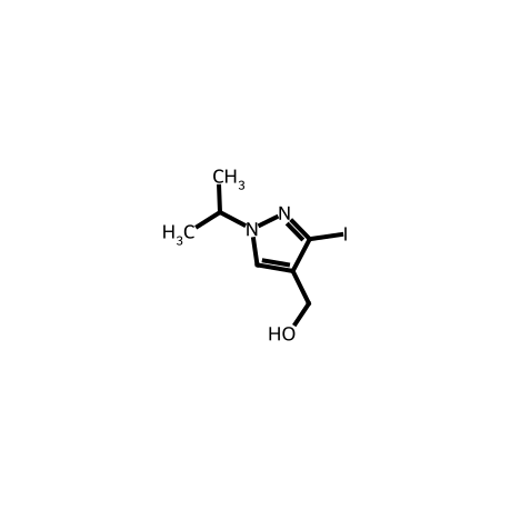 CC(C)n1cc(CO)c(I)n1